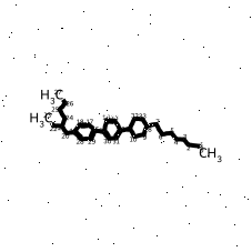 CCCCCCCCC1CCC(c2ccc(-c3ccc(CC(CC)CCCC)cc3)cc2)CC1